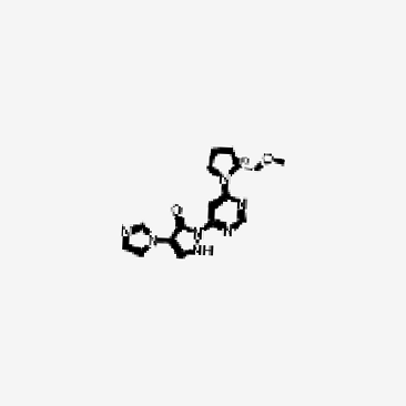 COC[C@H]1CCCN1c1cc(-n2[nH]cc(-n3ccnc3)c2=O)ncn1